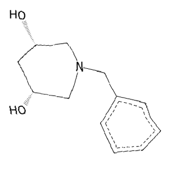 O[C@@H]1C[C@H](O)CN(Cc2ccccc2)C1